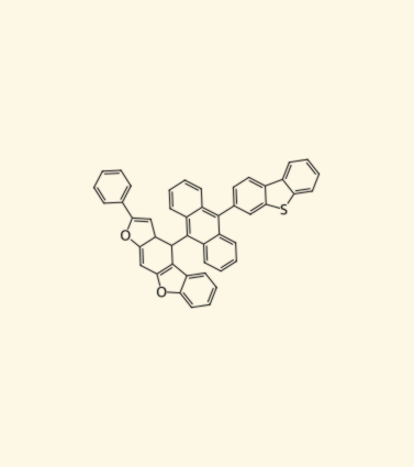 C1=C(c2ccccc2)OC2=Cc3oc4ccccc4c3C(c3c4ccccc4c(-c4ccc5c(c4)sc4ccccc45)c4ccccc34)C12